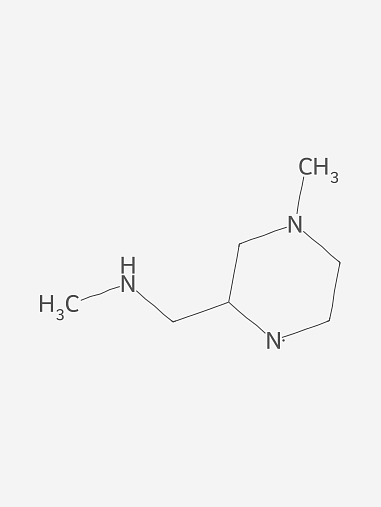 CNCC1CN(C)CC[N]1